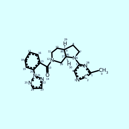 Cc1cncc(N2CC[C@@H]3CCN(C(=O)c4ccccc4-n4nccn4)C[C@@H]32)n1